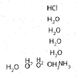 Cl.N.O.O.O.O.O.O.O.O